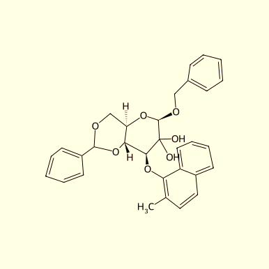 Cc1ccc2ccccc2c1O[C@H]1[C@@H]2OC(c3ccccc3)OC[C@H]2O[C@@H](OCc2ccccc2)C1(O)O